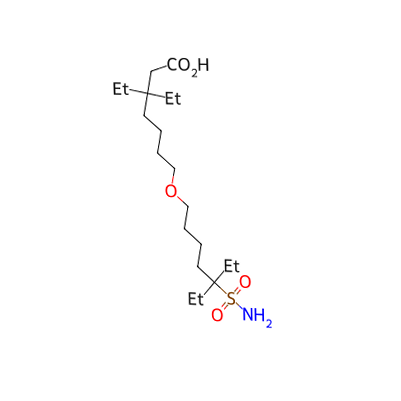 CCC(CC)(CCCCOCCCCC(CC)(CC)S(N)(=O)=O)CC(=O)O